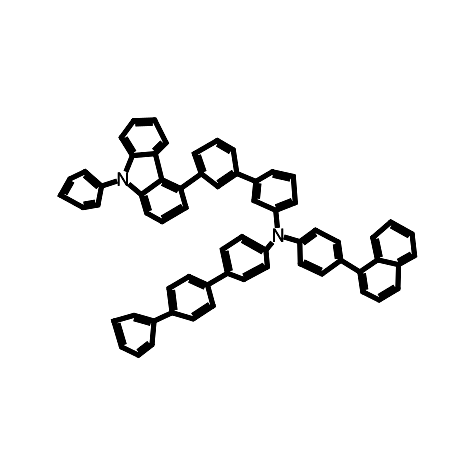 c1ccc(-c2ccc(-c3ccc(N(c4ccc(-c5cccc6ccccc56)cc4)c4cccc(-c5cccc(-c6cccc7c6c6ccccc6n7-c6ccccc6)c5)c4)cc3)cc2)cc1